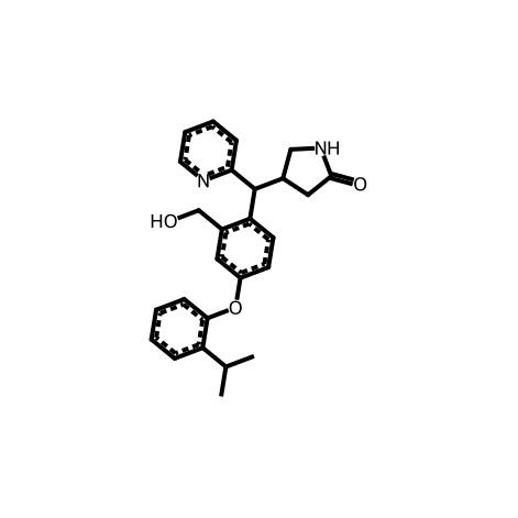 CC(C)c1ccccc1Oc1ccc(C(c2ccccn2)C2CNC(=O)C2)c(CO)c1